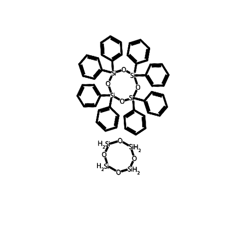 O1[SiH2]O[SiH2]O[SiH2]O[SiH2]1.c1ccc([Si]2(c3ccccc3)O[Si](c3ccccc3)(c3ccccc3)O[Si](c3ccccc3)(c3ccccc3)O[Si](c3ccccc3)(c3ccccc3)O2)cc1